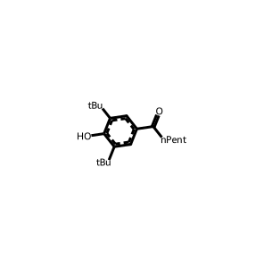 CCCCCC(=O)c1cc(C(C)(C)C)c(O)c(C(C)(C)C)c1